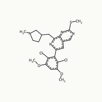 COc1cc(OC)c(Cl)c(-c2cc3cnc(SC)nc3c(CC3CCN(C)C3)n2)c1Cl